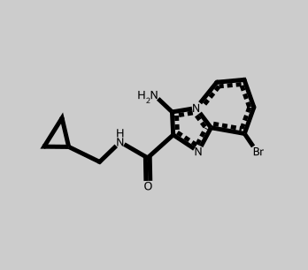 Nc1c(C(=O)NCC2CC2)nc2c(Br)cccn12